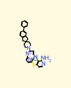 CN1C2=CC=C(Sc3ccnc(N)c3Cl)/C1=N/C=C/C(N1CCC3(CC1)Cc1ccc(-c4ccccc4)cc1C3)=N\2